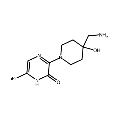 CC(C)c1cnc(N2CCC(O)(CN)CC2)c(=O)[nH]1